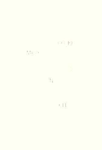 CCOC(=O)C(OC)c1nc(C)cs1